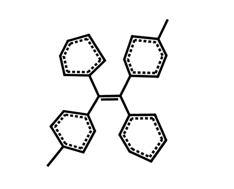 Cc1ccc(/C(=C(\c2ccccc2)c2ccc(C)cc2)c2ccccc2)cc1